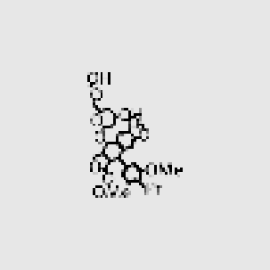 COc1cc(C2c3cc4c(cc3C(OC3CC(O)CC(COCO)O3)C3COC(=O)C23)OCO4)cc(OC)c1C(C)C